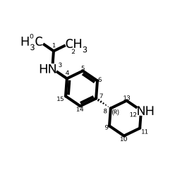 CC(C)Nc1ccc([C@H]2CCCNC2)cc1